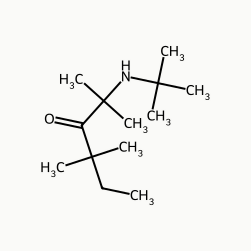 CCC(C)(C)C(=O)C(C)(C)NC(C)(C)C